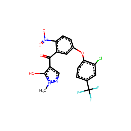 Cn1ncc(C(=O)c2cc(Oc3ccc(C(F)(F)F)cc3Cl)ccc2[N+](=O)[O-])c1O